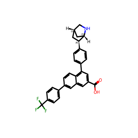 O=C(O)c1cc(-c2ccc([C@H]3C[C@@H]4CN[C@H]3C4)cc2)c2ccc(-c3ccc(C(F)(F)F)cc3)cc2c1